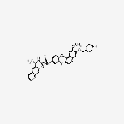 COc1cc2c(Oc3ccc(NC(=O)C(=O)N[C@H](C)c4ccc5ccccc5c4)cc3F)ccnc2cc1OCC1CCNCC1